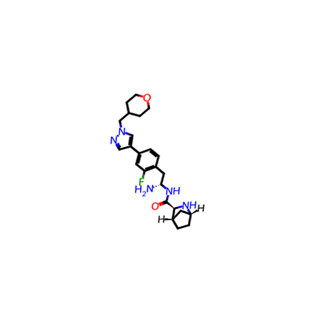 N[C@H](Cc1ccc(-c2cnn(CC3CCOCC3)c2)cc1F)NC(=O)[C@H]1N[C@@H]2CC[C@H]1C2